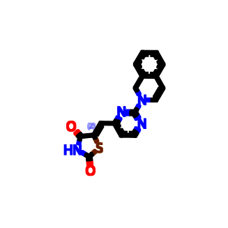 O=C1NC(=O)/C(=C/c2ccnc(N3C=Cc4ccccc4C3)n2)S1